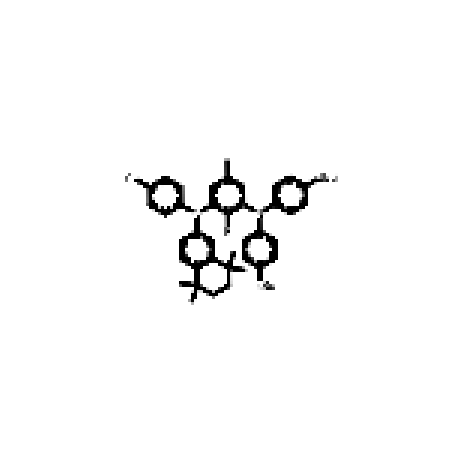 Cc1cc(N(c2ccc(C(C)(C)C)cc2)c2ccc(C(C)(C)C)cc2)c(Br)c(N(c2ccc(Cl)cc2)c2ccc3c(c2)C(C)(C)CCC3(C)C)c1